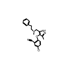 Cc1n[nH]c(CN(C)CCc2ccccc2)c1Oc1ccc(Cl)cc1C#N